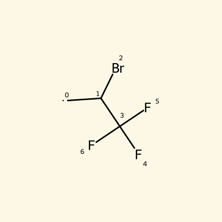 [CH2]C(Br)C(F)(F)F